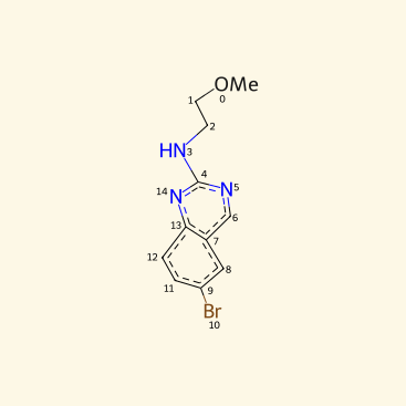 COCCNc1ncc2cc(Br)ccc2n1